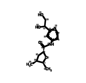 C[C@@H]1O[C@@H](C(=O)Nc2ccnc(C(O)CO)c2)C[C@@H]1C